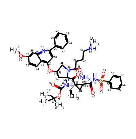 C=C[C@@]1(C(=O)[C@]2(NC(=O)OC(C)(C)C)C[C@@H](Oc3cc(-c4ccccc4)nc4cc(OC)ccc34)CN2C(=O)CCCNC)C[C@]1(N)C(=O)NS(=O)(=O)c1ccccc1